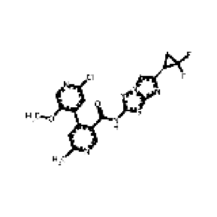 COc1cnc(Cl)cc1-c1cc(C)ncc1C(=O)Nc1nn2cc([C@H]3CC3(F)F)nc2s1